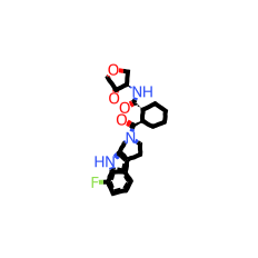 O=C1COC[C@@H]1NC(=O)[C@@H]1CCCC[C@H]1C(=O)N1CCc2c([nH]c3c(F)cccc23)C1